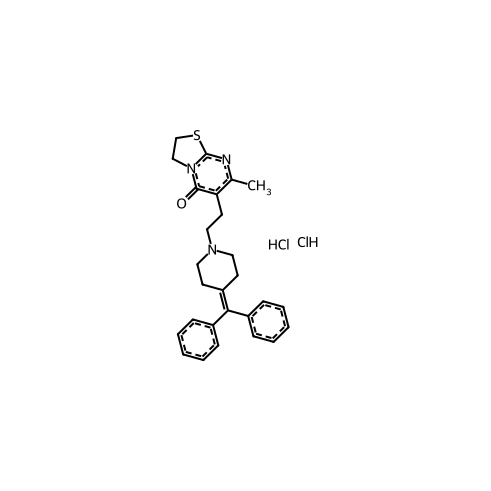 Cc1nc2n(c(=O)c1CCN1CCC(=C(c3ccccc3)c3ccccc3)CC1)CCS2.Cl.Cl